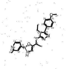 CCn1c(SC(C)C2=CNN(c3ccnc(C)c3)O2)nnc1-c1ccc(OC)cc1